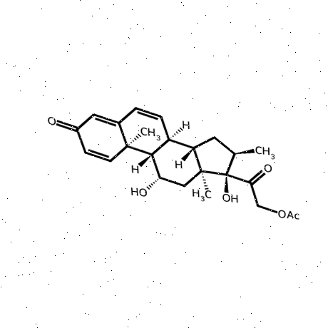 CC(=O)OCC(=O)[C@@]1(O)[C@H](C)C[C@H]2[C@@H]3C=CC4=CC(=O)C=C[C@]4(C)[C@H]3[C@@H](O)C[C@@]21C